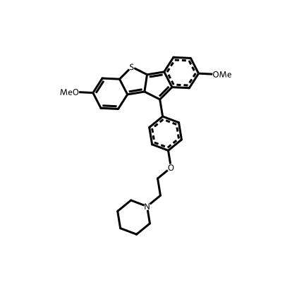 COC1=CC2SC3=c4ccc(OC)cc4=C(c4ccc(OCCN5CCCCC5)cc4)C3=C2C=C1